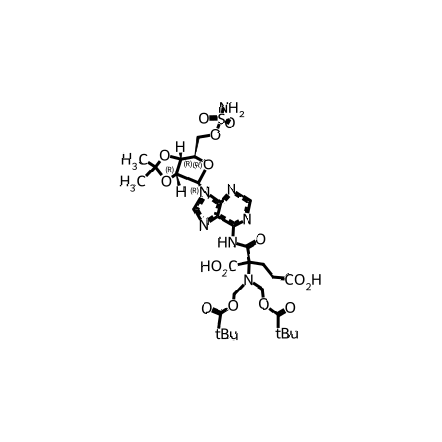 CC1(C)O[C@@H]2[C@H](O1)[C@@H](COS(N)(=O)=O)O[C@H]2n1cnc2c(NC(=O)C(CCC(=O)O)(C(=O)O)N(COC(=O)C(C)(C)C)COC(=O)C(C)(C)C)ncnc21